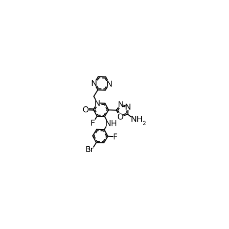 Nc1nnc(-c2cn(Cc3cnccn3)c(=O)c(F)c2Nc2ccc(Br)cc2F)o1